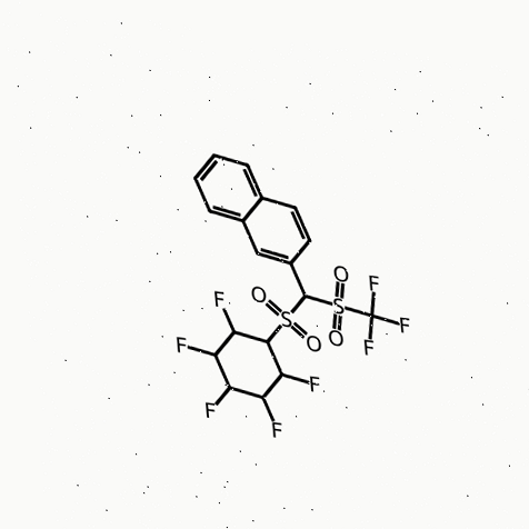 O=S(=O)(C1C(F)C(F)C(F)C(F)C1F)C(c1ccc2ccccc2c1)S(=O)(=O)C(F)(F)F